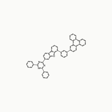 c1ccc(-c2nc(-c3ccccc3)nc(-c3ccc4c(c3)oc3c(-c5cccc(-c6ccc7c8ccccc8c8ccccc8c7c6)c5)cccc34)n2)cc1